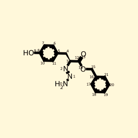 NN=N[C@@H](Cc1ccc(O)cc1)C(=O)OCc1ccccc1